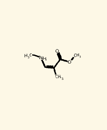 CNC=C(C)C(=O)OC